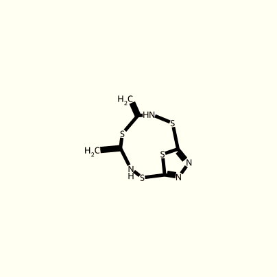 C=C1NSc2nnc(s2)SNC(=C)S1